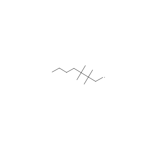 [CH2]CC(C)(C)C(C)(C)CCCC